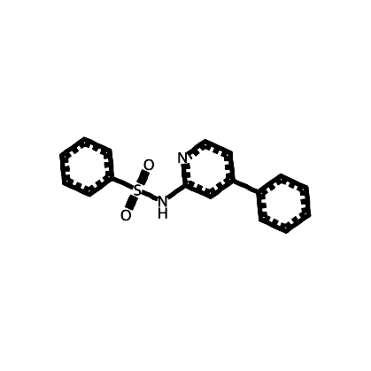 O=S(=O)(Nc1cc(-c2ccccc2)ccn1)c1ccccc1